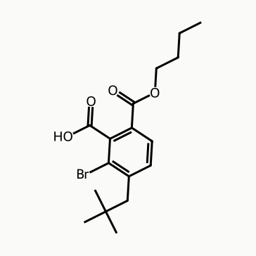 CCCCOC(=O)c1ccc(CC(C)(C)C)c(Br)c1C(=O)O